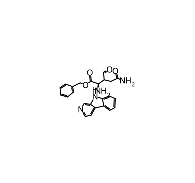 NC(=O)CC(C=O)C(N)C(=O)OCc1ccccc1.c1ccc2c(c1)[nH]c1cnccc12